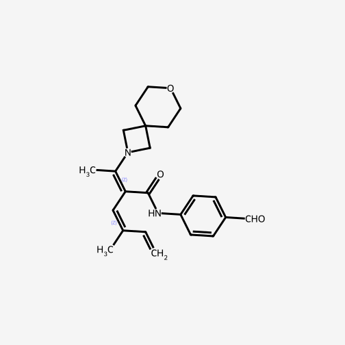 C=C/C(C)=C\C(C(=O)Nc1ccc(C=O)cc1)=C(/C)N1CC2(CCOCC2)C1